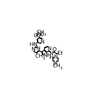 CCC(C(=O)Nc1nccc2c(-c3nc(Nc4cncc(S(C)(=O)=O)c4)ncc3C)c[nH]c12)N1CCN(C)CC1